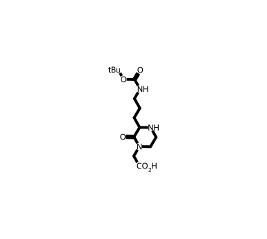 CC(C)(C)OC(=O)NCCCC1NCCN(CC(=O)O)C1=O